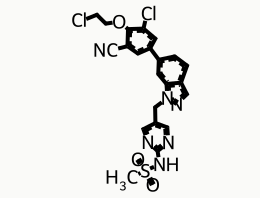 CS(=O)(=O)Nc1ncc(Cn2ncc3ccc(-c4cc(Cl)c(OCCCl)c(C#N)c4)cc32)cn1